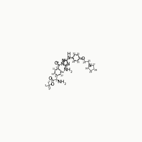 CC(C)(C)OC(=O)C(N)c1ccc(C(=O)n2nc(Nc3ccc(OCCN4CCCC4)cc3)nc2N)cc1